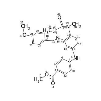 COC(=O)c1ccc(Nc2ccc3c(c2)N(Cc2ccc(OC)cc2)[C@H](C)C(=O)N3C)cc1